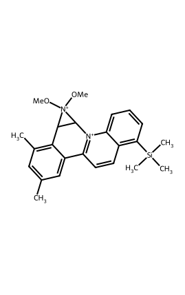 CO[N+]1(OC)C2c3c(C)cc(C)cc3-c3ccc4c([Si](C)(C)C)cccc4[n+]3C21